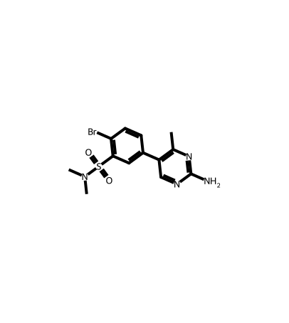 Cc1nc(N)ncc1-c1ccc(Br)c(S(=O)(=O)N(C)C)c1